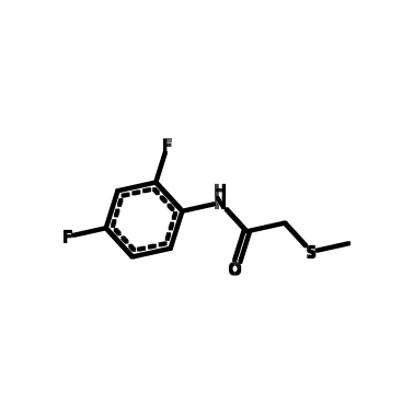 CSCC(=O)Nc1ccc(F)cc1F